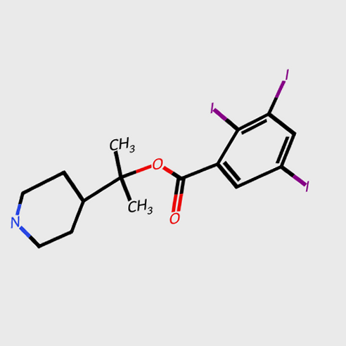 CC(C)(OC(=O)c1cc(I)cc(I)c1I)C1CCNCC1